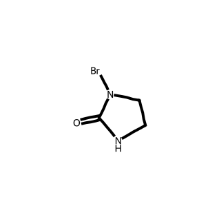 O=C1NCCN1Br